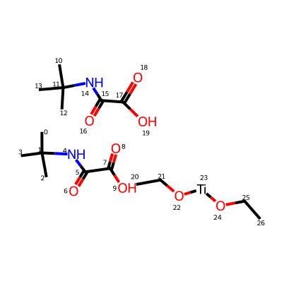 CC(C)(C)NC(=O)C(=O)O.CC(C)(C)NC(=O)C(=O)O.CC[O][Ti][O]CC